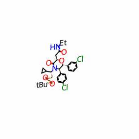 CCNC(=O)C[C@H]1O[C@H](c2cccc(Cl)c2)[C@@H](c2ccc(Cl)cc2)N([C@H](CS(=O)(=O)C(C)(C)C)C2CC2)C1=O